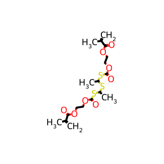 C=C(C)C(=O)OCCOC(=O)SC(C)SC(C)SC(=O)OCCOC(=O)C(=C)C